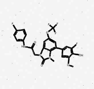 COc1cc(-c2cc(OC(F)(F)F)cc3c2n(C)c(=O)n3CC(=O)Nc2ccc(F)cc2)cc(F)c1O